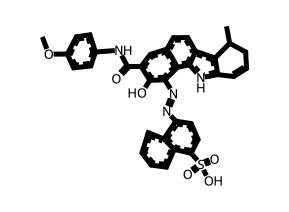 COc1ccc(NC(=O)c2cc3ccc4c5c([nH]c4c3c(N=Nc3ccc(S(=O)(=O)O)c4ccccc34)c2O)C=CCC5C)cc1